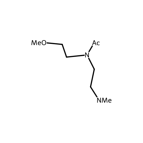 CNCCN(CCOC)C(C)=O